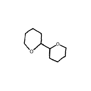 C1CC[C](C2CCCCO2)OC1